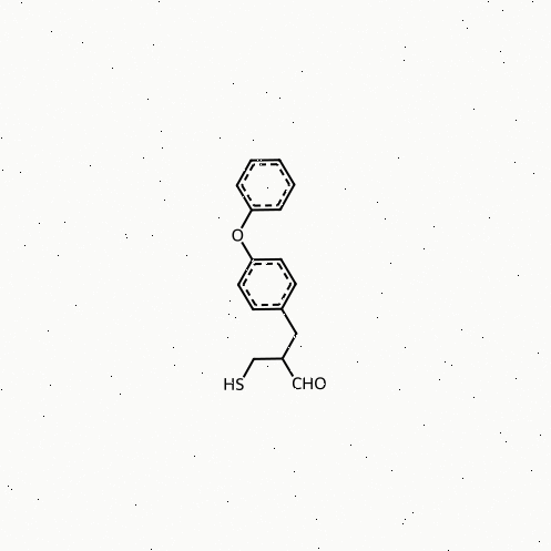 O=CC(CS)Cc1ccc(Oc2ccccc2)cc1